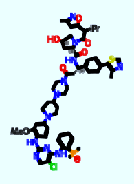 COc1cc(N2CCC(N3CCN(C(=O)C[C@H](NC(=O)[C@@H]4C[C@@H](O)CN4C(=O)C(c4cc(C)no4)C(C)C)c4ccc(-c5scnc5C)cc4)CC3)CC2)ccc1Nc1ncc(Cl)c(Nc2ccccc2P(C)(C)=O)n1